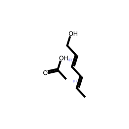 C/C=C/C=C/CO.CC(=O)O